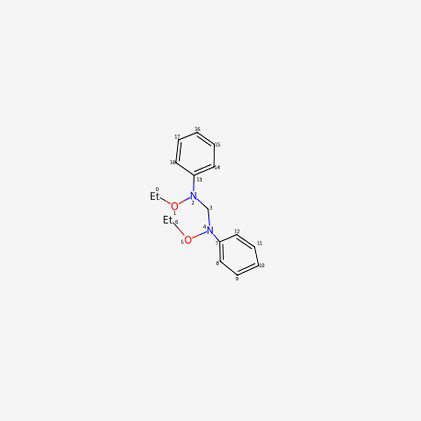 CCON(CN(OCC)c1ccccc1)c1ccccc1